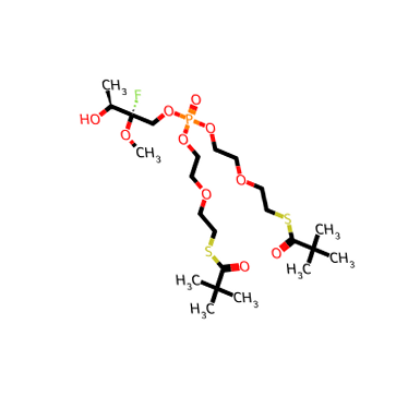 CO[C@](F)(COP(=O)(OCCOCCSC(=O)C(C)(C)C)OCCOCCSC(=O)C(C)(C)C)[C@H](C)O